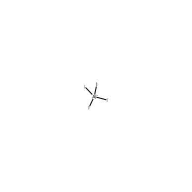 [I][Al-]([I])([I])[I]